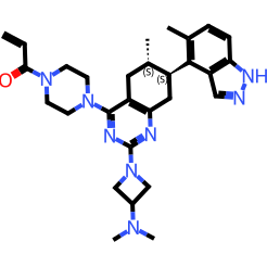 C=CC(=O)N1CCN(c2nc(N3CC(N(C)C)C3)nc3c2C[C@H](C)[C@@H](c2c(C)ccc4[nH]ncc24)C3)CC1